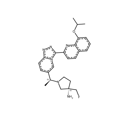 CC(C)Oc1cccc2ccc(-c3nnc4ccc([C@H](C)N5CC[C@@](N)(CF)C5)cn34)nc12